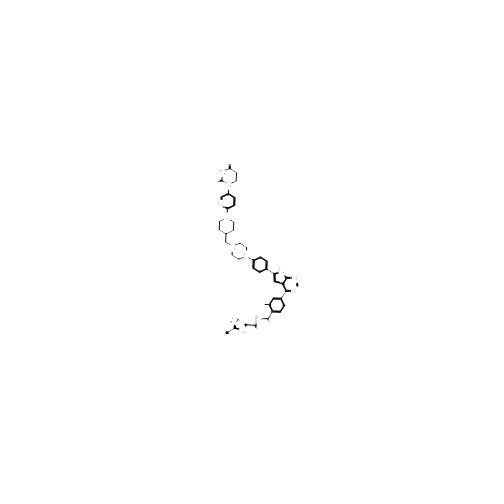 Cc1cc(-c2ncnc3[nH]c(-c4ccc(N5CCN(CC6CCN(c7ccc(N8CCC(=O)NC8=O)cn7)CC6)CC5)cc4)cc23)ccc1[C@@H](C)NC(=O)c1nc(C(C)(C)C)no1